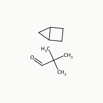 C1CC2CC12.CC(C)(C)C=O